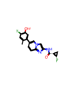 Cc1cc(F)c(O)cc1-c1ccc2nc(NC(=O)[C@@H]3C[C@@H]3F)cn2c1